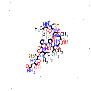 CC[C@H](C)[C@H](NC(=O)[C@@H]1CCCN1C(=O)[C@@H]1CCCN1C(=O)[C@@H](NC(=O)[C@H](CO)NC(=O)[C@H](C)NC(=O)[C@@H](NC(=O)[C@H](CS)NC(=O)[C@@H](N)C(C)C)[C@@H](C)O)[C@@H](C)CC)C(=O)N[C@@H](CS)C(=O)N[C@@H](CCC(N)=O)C(=O)O